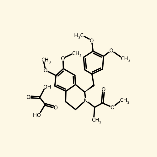 COC(=O)C(C)N1CCc2cc(OC)c(OC)cc2[C@H]1Cc1ccc(OC)c(OC)c1.O=C(O)C(=O)O